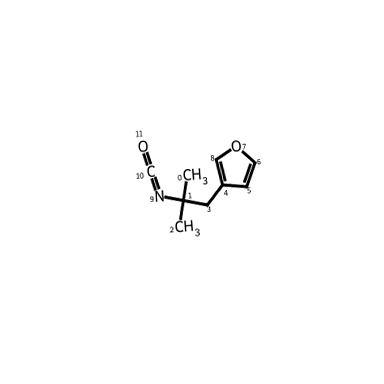 CC(C)(Cc1ccoc1)N=C=O